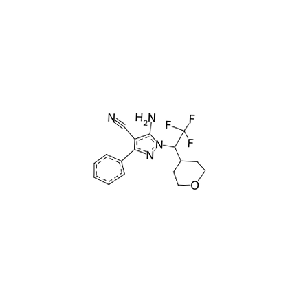 N#Cc1c(-c2ccccc2)nn(C(C2CCOCC2)C(F)(F)F)c1N